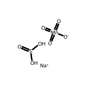 O=S(O)O.[Na+].[O]=[Mn](=[O])(=[O])[O-]